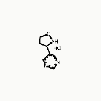 Cl.c1ncc(C2CCON2)cn1